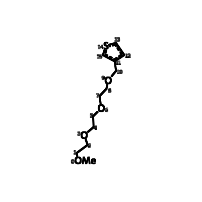 COCCOCCOCCOCc1ccsc1